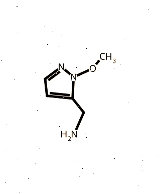 COn1nccc1CN